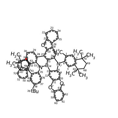 Cc1cc2c(cc1N1c3cc4c(cc3B3c5c1cc1c(oc6ccccc61)c5-c1ccc5c(c1N3c1ccc(C(C)(C)C)cc1-c1ccccc1)-c1ccccc1C5(C)C)Oc1ccccc1O4)C(C)(C)CCC2(C)C